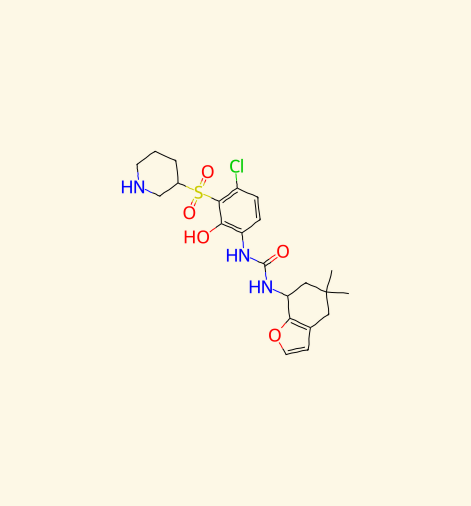 CC1(C)Cc2ccoc2C(NC(=O)Nc2ccc(Cl)c(S(=O)(=O)C3CCCNC3)c2O)C1